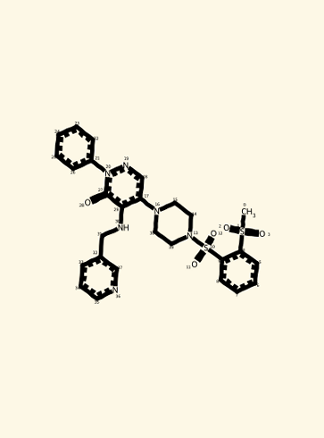 CS(=O)(=O)c1ccccc1S(=O)(=O)N1CCN(c2cnn(-c3ccccc3)c(=O)c2NCc2cccnc2)CC1